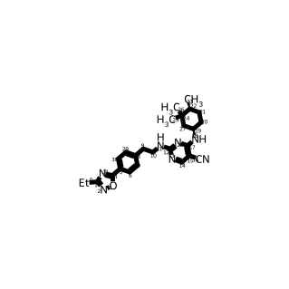 CCc1noc(-c2ccc(CCNc3ncc(C#N)c(N[C@@H]4CC[C@H](C)C(C)(C)C4)n3)cc2)n1